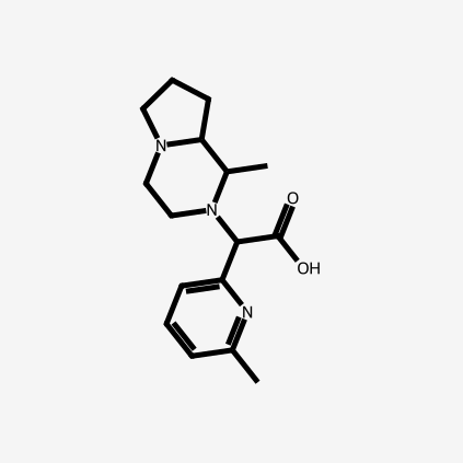 Cc1cccc(C(C(=O)O)N2CCN3CCCC3C2C)n1